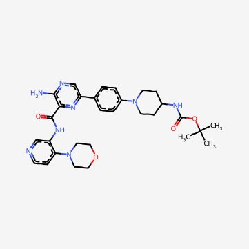 CC(C)(C)OC(=O)NC1CCN(c2ccc(-c3cnc(N)c(C(=O)Nc4cnccc4N4CCOCC4)n3)cc2)CC1